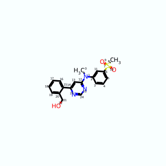 CN(c1cccc(S(C)(=O)=O)c1)c1cc(-c2ccccc2CO)ncn1